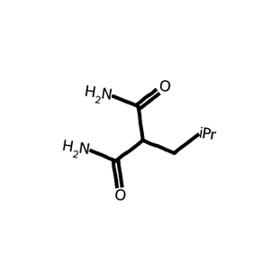 CC(C)CC(C(N)=O)C(N)=O